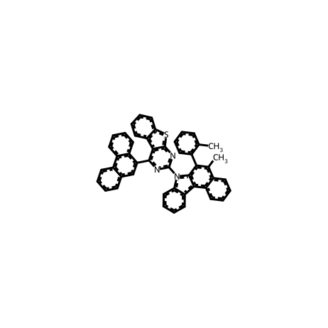 Cc1ccccc1-c1c(C)c2ccccc2c2c3ccccc3n(-c3nc(-c4cc5ccccc5c5ccccc45)c4c(n3)sc3ccccc34)c12